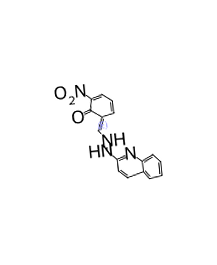 O=C1C([N+](=O)[O-])=CC=C/C1=C\NNc1ccc2ccccc2n1